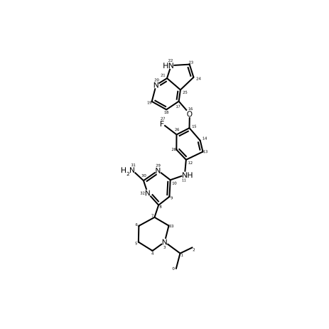 CC(C)N1CCCC(c2cc(Nc3ccc(Oc4ccnc5[nH]ccc45)c(F)c3)nc(N)n2)C1